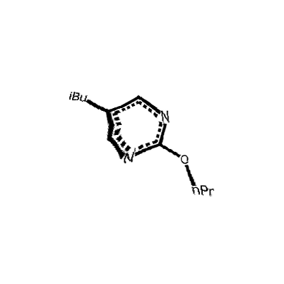 CCCOc1ncc(C(C)CC)cn1